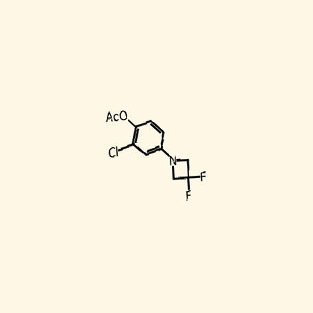 CC(=O)Oc1ccc(N2CC(F)(F)C2)cc1Cl